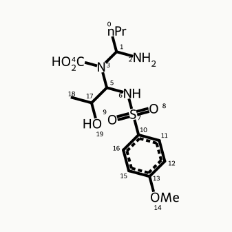 CCCC(N)N(C(=O)O)C(NS(=O)(=O)c1ccc(OC)cc1)C(C)O